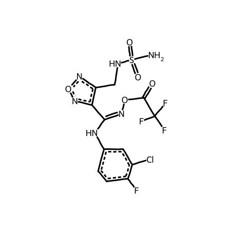 NS(=O)(=O)NCc1nonc1C(=NOC(=O)C(F)(F)F)Nc1ccc(F)c(Cl)c1